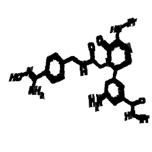 CC(C)NC(=O)c1cc(N)cc(-c2cnc(NC(C)C)c(=O)n2CC(=O)NCc2ccc(/C(N)=N/O)cc2)c1